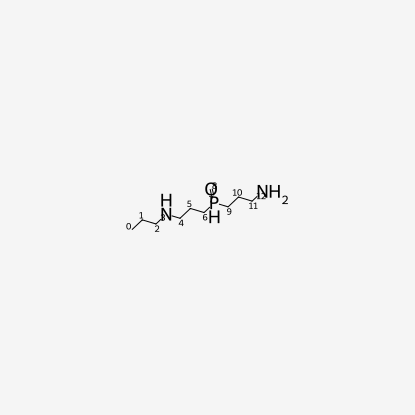 CCCNCCC[PH](=O)CCCN